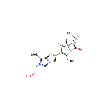 CSc1c2sc(C3=C(C(=O)[O-])N4C(=O)[C@H]([C@@H](C)O)[C@H]4[C@H]3C)c[n+]2cn1CCO